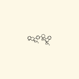 CN1Cc2ccccc2C(C2CCCC(c3ccc(C4Cc5cccnc5CN4C)cc3)N2C)C1